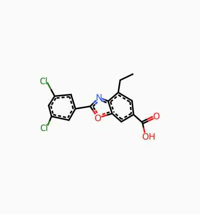 CCc1cc(C(=O)O)cc2oc(-c3cc(Cl)cc(Cl)c3)nc12